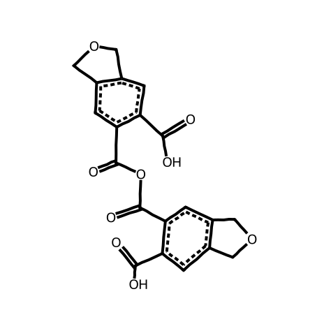 O=C(O)c1cc2c(cc1C(=O)OC(=O)c1cc3c(cc1C(=O)O)COC3)COC2